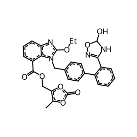 CCOc1nc2cccc(C(=O)OCc3oc(=O)oc3C)c2n1Cc1ccc(-c2ccccc2C2=NOC(O)N2)cc1